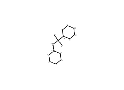 CC(C)(ON1CCCCC1)C1CCCCC1